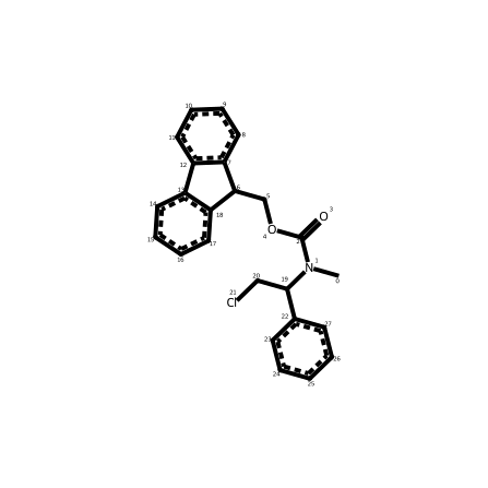 CN(C(=O)OCC1c2ccccc2-c2ccccc21)C(CCl)c1ccccc1